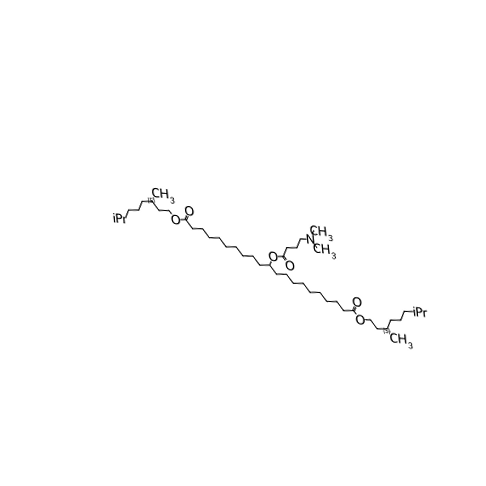 CC(C)CCC[C@H](C)CCOC(=O)CCCCCCCCCC(CCCCCCCCCC(=O)OCC[C@@H](C)CCCC(C)C)OC(=O)CCCN(C)C